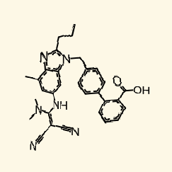 CCCc1nc2c(C)cc(NC(=C(C#N)C#N)N(C)C)cc2n1Cc1ccc(-c2ccccc2C(=O)O)cc1